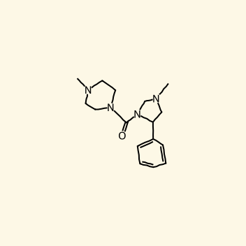 CN1CCN(C(=O)N2CN(C)CC2c2ccccc2)CC1